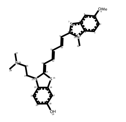 COc1ccc2c(c1)sc(/C=C/C=C/C=C1\Sc3cc(O)ccc3N1CCN(C)C)[n+]2C